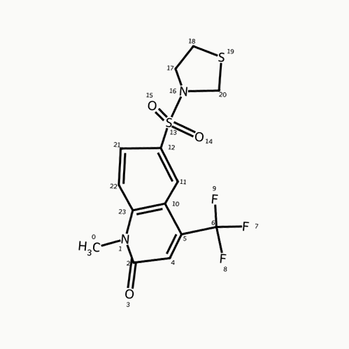 Cn1c(=O)cc(C(F)(F)F)c2cc(S(=O)(=O)N3CCSC3)ccc21